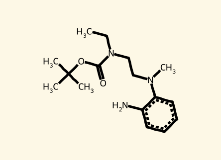 CCN(CCN(C)c1ccccc1N)C(=O)OC(C)(C)C